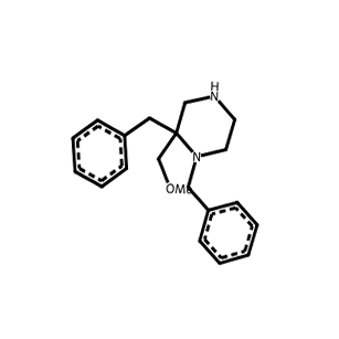 COCC1(Cc2ccccc2)CNCCN1Cc1ccccc1